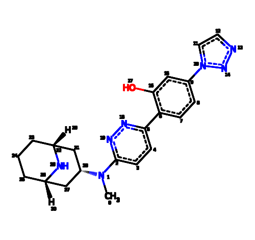 CN(c1ccc(-c2ccc(-n3ccnn3)cc2O)nn1)[C@H]1C[C@H]2CCC[C@@H](C1)N2